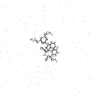 COc1cc(OC)nc(O[C@@H]2C(=O)N3CC(=O)N(C)c4ccccc4[C@@]23c2ccccc2)n1